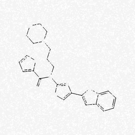 O=C(c1cccs1)N(CCCN1CCOCC1)c1nc(-c2cc3ccccc3o2)cs1